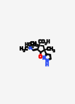 CN(C)C=C1C(=O)C(C)(c2cc[nH]n2)CC1(C(=O)O)C(=O)O